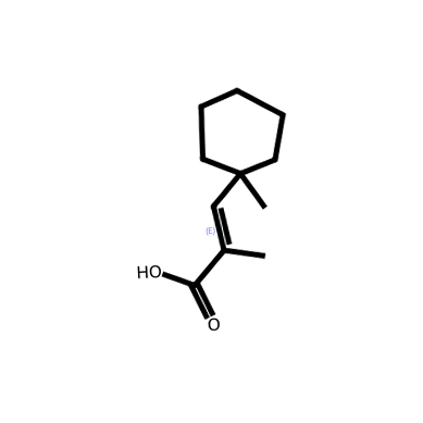 C/C(=C\C1(C)CCCCC1)C(=O)O